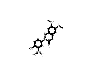 COc1cc2c(cc1OC)ON(c1ccc(Cl)c([N+](=O)[O-])c1)C(=O)C2